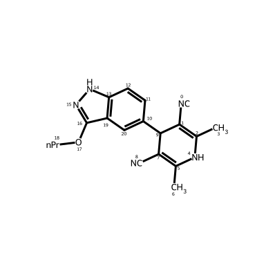 [C-]#[N+]C1=C(C)NC(C)=C(C#N)C1c1ccc2[nH]nc(OCCC)c2c1